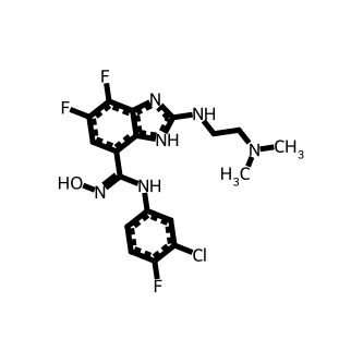 CN(C)CCNc1nc2c(F)c(F)cc(/C(=N\O)Nc3ccc(F)c(Cl)c3)c2[nH]1